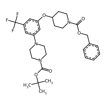 CC(C)(C)OC(=O)N1CCN(c2cc(OC3CCN(C(=O)OCc4ccccc4)CC3)cc(C(F)(F)F)c2)CC1